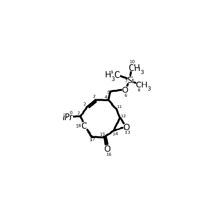 CC(C)C1C=CC(CO[Si](C)(C)C)CC2OC2C(=O)CC1